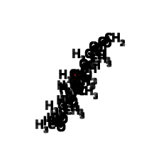 C=CC(=O)OCCOC(=O)NCC(C)(C)CC(C)CCNC(=O)NCCC[Si](C)(C)CC(CC)O[Si](C)(C)C(C)(CC)O[Si](C)(C)CCCNC(=O)NCCC(C)(C)CC(C)CNC(=O)Nc1nc(=O)cc(C)[nH]1